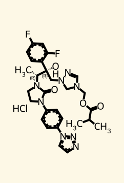 CC(C)C(=O)OCN1C=NN(C[C@](O)(c2ccc(F)cc2F)[C@@H](C)N2CCN(c3ccc(-n4ccnn4)cc3)C2=O)C1.Cl